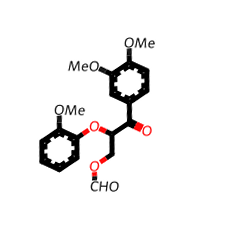 COc1ccc(C(=O)C(COC=O)Oc2ccccc2OC)cc1OC